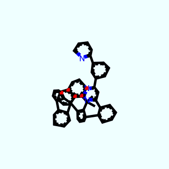 CC1(C)c2ccccc2C2(c3ccccc3-c3ccccc32)c2cccc(-c3ccccc3-c3cc(-c4cccc(-c5ccccn5)c4)nc(-c4ccccc4)n3)c21